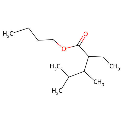 CCCCOC(=O)C(CC)C(C)C(C)C